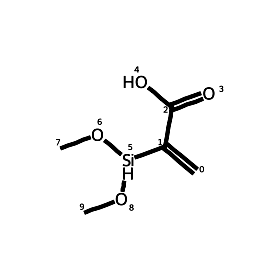 C=C(C(=O)O)[SiH](OC)OC